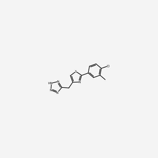 Cc1cc(-c2nc(Cc3nn[nH]n3)cs2)ccc1Cl